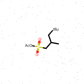 CC(=O)OS(=O)(=O)CC(C)CC(C)(C)C